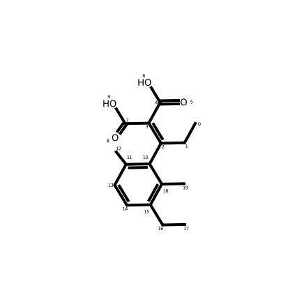 CCC(=C(C(=O)O)C(=O)O)c1c(C)ccc(CC)c1C